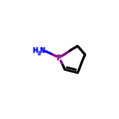 NP1C=CCC1